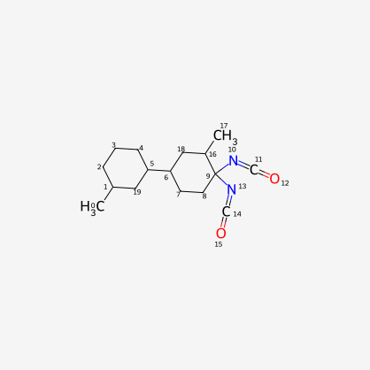 CC1CCCC(C2CCC(N=C=O)(N=C=O)C(C)C2)C1